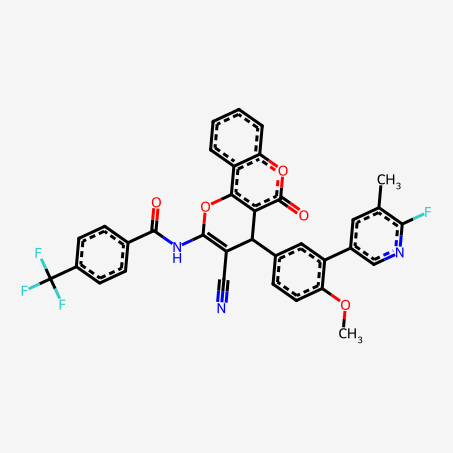 COc1ccc(C2C(C#N)=C(NC(=O)c3ccc(C(F)(F)F)cc3)Oc3c2c(=O)oc2ccccc32)cc1-c1cnc(F)c(C)c1